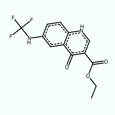 CCOC(=O)c1c[nH]c2ccc(NC(F)(F)F)cc2c1=O